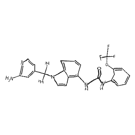 [2H]C([2H])(c1ccnc(N)c1)n1ccc2c(NC(=O)Nc3ccccc3OC(F)(F)F)cccc21